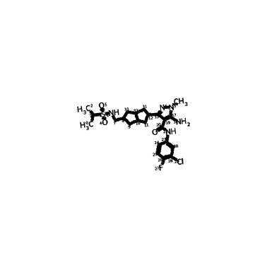 CC(C)S(=O)(=O)NCC1CC2CC(c3nn(C)c(N)c3C(=O)Nc3ccc(F)c(Cl)c3)CC2C1